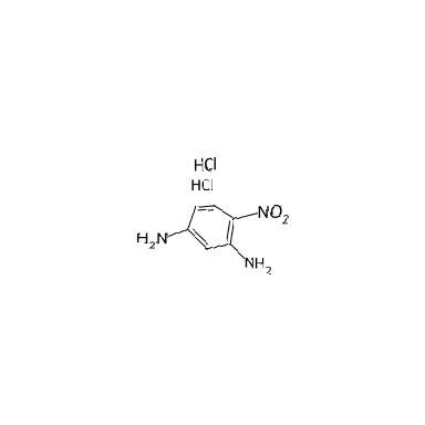 Cl.Cl.Nc1ccc([N+](=O)[O-])c(N)c1